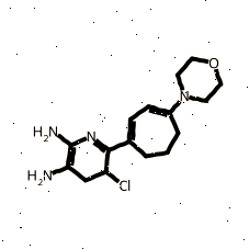 NC1=C(N)N=C(C2=CC=C(N3CCOCC3)CCC2)C(Cl)C1